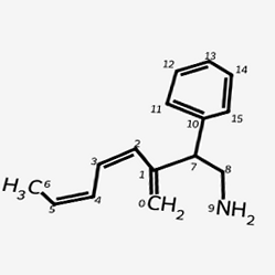 C=C(/C=C\C=C/C)C(CN)c1ccccc1